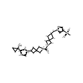 CS(=O)(=O)c1cnn(CC2CC3(C2)CN(C(=O)N2CC4(CC(n5cnc(C6(O)CC6)n5)C4)C2)C3)c1